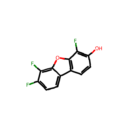 Oc1ccc2c(oc3c(F)c(F)ccc32)c1F